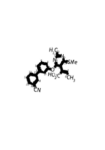 CC=C(C(=O)O)c1c(Oc2cccc(-c3cccc(C#N)c3)c2)nc(C)nc1SC